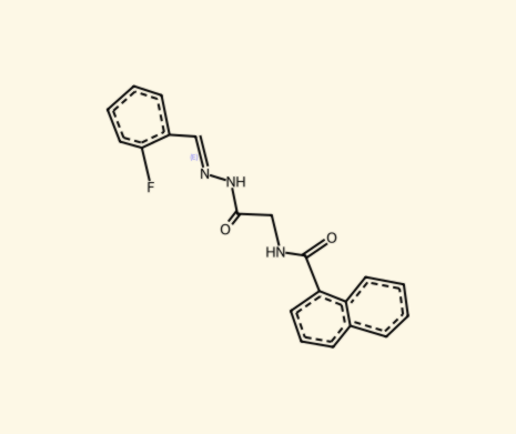 O=C(CNC(=O)c1cccc2ccccc12)N/N=C/c1ccccc1F